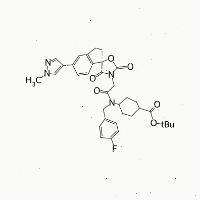 Cn1cc(-c2ccc3c(c2)CC[C@@]32OC(=O)N(CC(=O)N(Cc3ccc(F)cc3)C3CCC(C(=O)OC(C)(C)C)CC3)C2=O)cn1